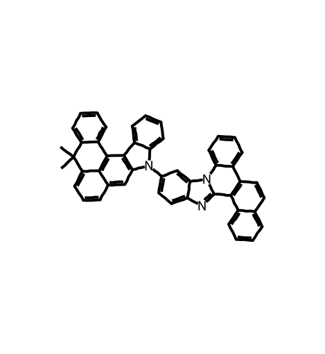 CC1(C)c2ccccc2-c2c3c1cccc3cc1c2c2ccccc2n1-c1ccc2nc3c4c5ccccc5ccc4c4ccccc4n3c2c1